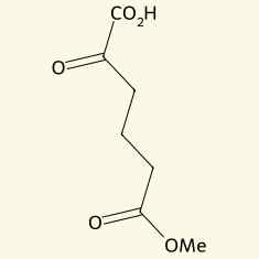 COC(=O)CCCC(=O)C(=O)O